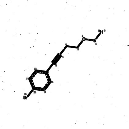 [3H]SOCCC#Cc1ccc(Br)cc1